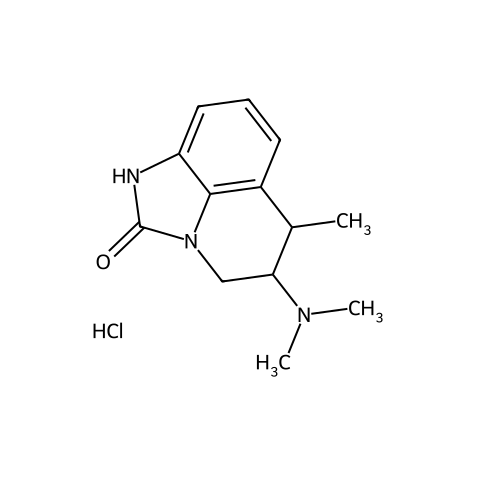 CC1c2cccc3[nH]c(=O)n(c23)CC1N(C)C.Cl